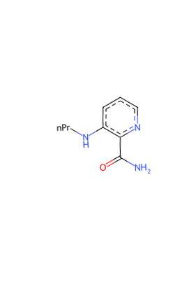 CCCNc1cccnc1C(N)=O